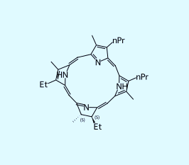 CCCC1=C(C)c2cc3[nH]c(cc4nc(cc5[nH]c(cc1n2)c(CCC)c5C)[C@@H](CC)[C@@H]4C)c(CC)c3C